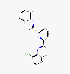 C/C(=N\c1c(Br)cccc1Br)c1cccc(/C(C)=N/c2c(Br)cccc2Br)n1